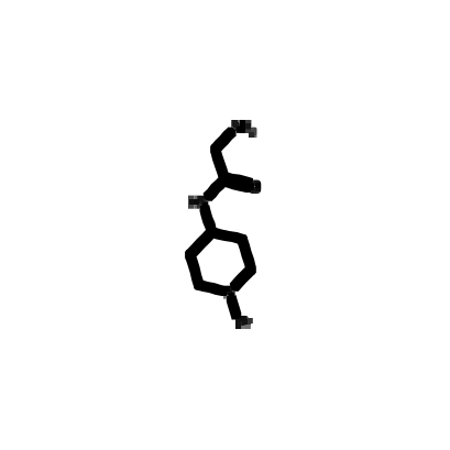 CC(C)N1CCC(NC(=O)CN)CC1